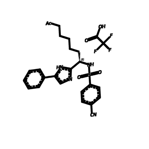 CC(=O)CCCCC[C@H](NS(=O)(=O)c1ccc(C#N)cc1)c1ncc(-c2ccccc2)[nH]1.O=C(O)C(F)(F)F